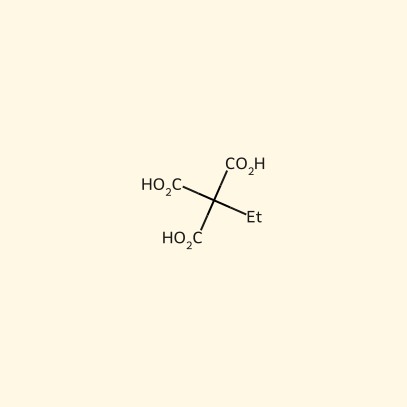 CCC(C(=O)O)(C(=O)O)C(=O)O